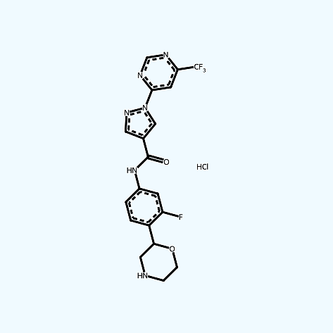 Cl.O=C(Nc1ccc(C2CNCCO2)c(F)c1)c1cnn(-c2cc(C(F)(F)F)ncn2)c1